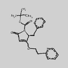 CC(C)(C)OC(=O)N1C(=O)C=C(OCCc2ccccn2)[C@@H]1Cc1ccccc1